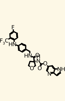 O=C(N[C@@]1(C(=O)NCc2ccc(Nc3ccc(F)cc3C(F)(F)F)cc2)CCOC1)Oc1cnc2cc[nH]c2c1